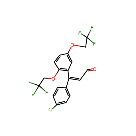 O=CC=C(c1ccc(Cl)cc1)c1cc(OCC(F)(F)F)ccc1OCC(F)(F)F